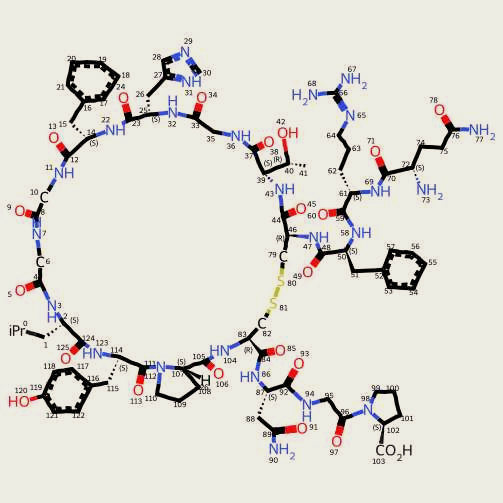 CC(C)C[C@@H]1NC(=O)CNC(=O)CNC(=O)[C@H](Cc2ccccc2)NC(=O)[C@H](Cc2cnc[nH]2)NC(=O)CNC(=O)[C@H]([C@@H](C)O)NC(=O)[C@@H](NC(=O)[C@H](Cc2ccccc2)NC(=O)[C@H](CCCN=C(N)N)NC(=O)[C@@H](N)CCC(N)=O)CSSC[C@@H](C(=O)N[C@@H](CC(N)=O)C(=O)NCC(=O)N2CCC[C@H]2C(=O)O)NC(=O)[C@@H]2CCCN2C(=O)[C@H](Cc2ccc(O)cc2)NC1=O